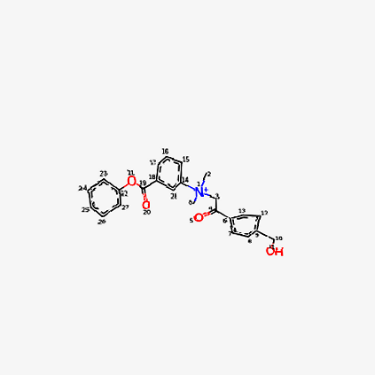 C[N+](C)(CC(=O)c1ccc(CO)cc1)c1cccc(C(=O)Oc2ccccc2)c1